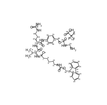 CC(C)[C@H](NC(=O)CCCCCNC(=O)OCC1c2ccccc2-c2ccccc21)C(=O)N[C@@H](CCCNC(N)=O)C(=O)Nc1ccc(COC(=O)NCN)cc1.O=C(O)C(F)(F)F